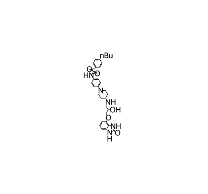 CCCCc1ccc(S(=O)(=O)Nc2ccc(N3CCC(NCC(O)COc4cccc5[nH]c(=O)[nH]c45)CC3)cc2)cc1